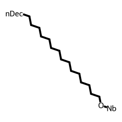 CCCCCCCCCCCCCCCCCCCCCCCCC[O][Nb]